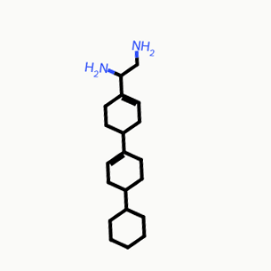 NCC(N)C1=CCC(C2=CCC(C3CCCCC3)CC2)CC1